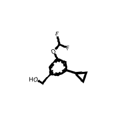 O[CH]c1cc(OC(F)F)cc(C2CC2)c1